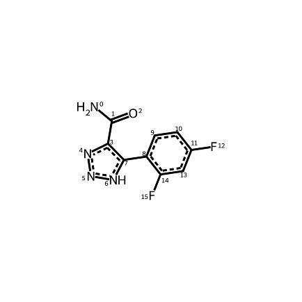 NC(=O)c1nn[nH]c1-c1ccc(F)cc1F